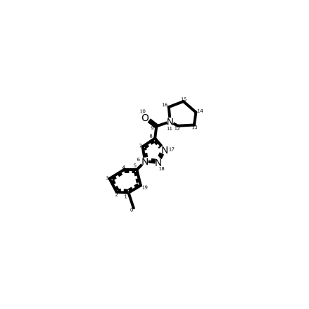 Cc1cccc(-n2cc(C(=O)N3CCCCC3)nn2)c1